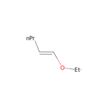 C[CH]OC=CCCC